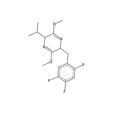 COC1=NC(C(C)C)C(OC)=NC1Cc1cc(F)c(F)cc1F